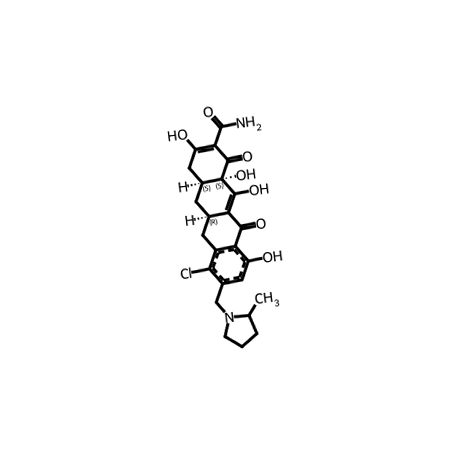 CC1CCCN1Cc1cc(O)c2c(c1Cl)C[C@H]1C[C@H]3CC(O)=C(C(N)=O)C(=O)[C@@]3(O)C(O)=C1C2=O